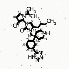 CCCCc1cn(-c2c(Cl)ccn2C(C)C)c(=O)n1CC1(c2cccc(-c3nnn[nH]3)c2)C=CNC=C1